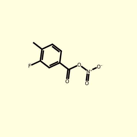 Cc1ccc(C(=O)O[N+](=O)[O-])cc1F